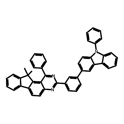 CC1(C)c2ccccc2-c2ccc3nc(-c4cccc(-c5ccc6c(c5)c5ccccc5n6-c5ccccc5)c4)nc(-c4ccccc4)c3c21